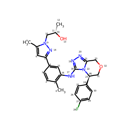 Cc1ccc(-c2cc(C)n(C[C@H](C)O)n2)cc1Nc1nnc2n1[C@H](c1ccc(F)cc1)COC2